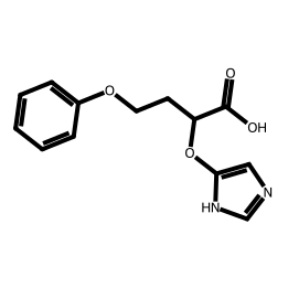 O=C(O)C(CCOc1ccccc1)Oc1cnc[nH]1